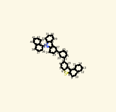 c1cc(-c2ccc3sc4ccc5ccccc5c4c3c2)cc(-c2ccc3c(c2)c2ccccc2n3-c2cccc3ccccc23)c1